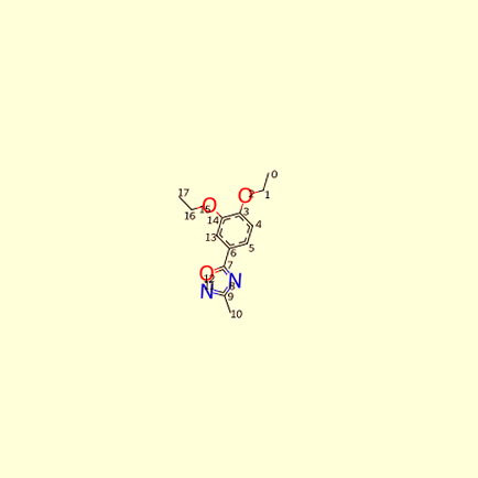 CCOc1ccc(-c2nc(C)no2)cc1OCC